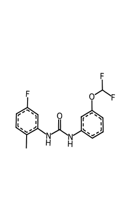 Cc1ccc(F)cc1NC(=O)Nc1cccc(OC(F)F)c1